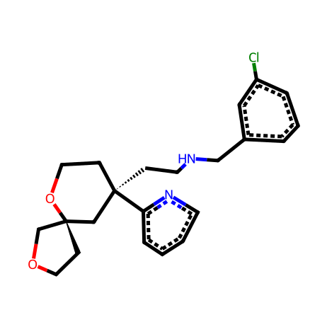 Clc1cccc(CNCC[C@@]2(c3ccccn3)CCO[C@]3(CCOC3)C2)c1